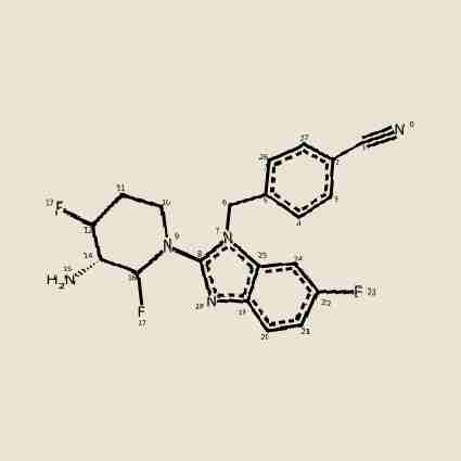 N#Cc1ccc(Cn2c(N3CCC(F)[C@@H](N)C3F)nc3ccc(F)cc32)cc1